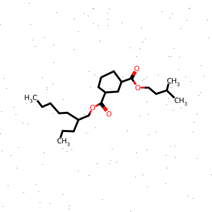 CCCCCC(CCC)COC(=O)C1CCCC(C(=O)OCCC(C)C)C1